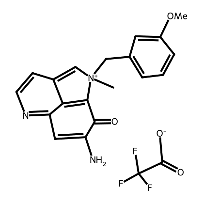 COc1cccc(C[N+]2(C)C=c3ccnc4c3=C2C(=O)C(N)=C4)c1.O=C([O-])C(F)(F)F